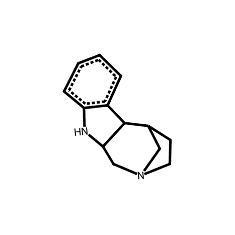 c1ccc2c(c1)NC1CN3CCC(C3)C21